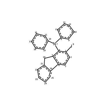 Ic1ccc2c(c1N(c1ccccc1)c1ccccc1)Cc1ccccc1-2